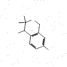 Cc1ccc2c(c1)COC(C)(C)C2C